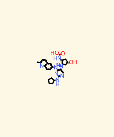 Cc1ccc2cc(-n3nnc4cnc(NC5CCCC5)nc43)ccc2n1.O=C(O)N[C@@H]1CC[C@@H](O)C1